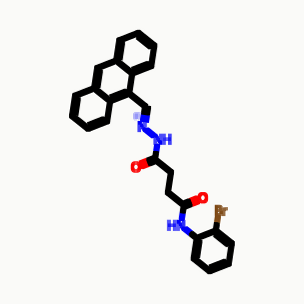 O=C(CCC(=O)Nc1ccccc1Br)N/N=C/c1c2ccccc2cc2ccccc12